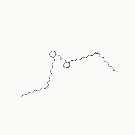 CCCCCCCC/C=C\CCCCCCCCc1ccccc1COCc1ccccc1CCCCCCCC/C=C\CCCCCCCC